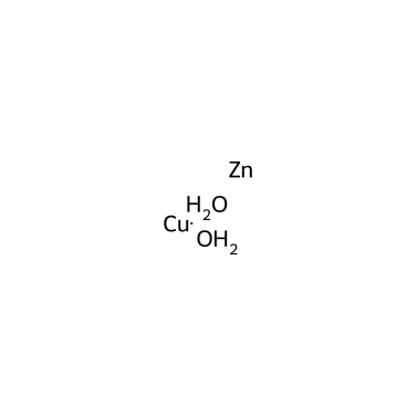 O.O.[Cu].[Zn]